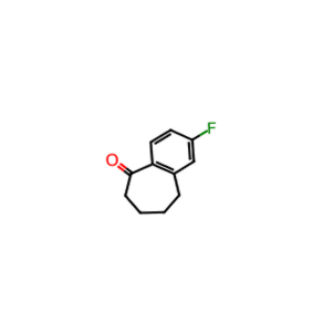 O=C1CCCCc2cc(F)ccc21